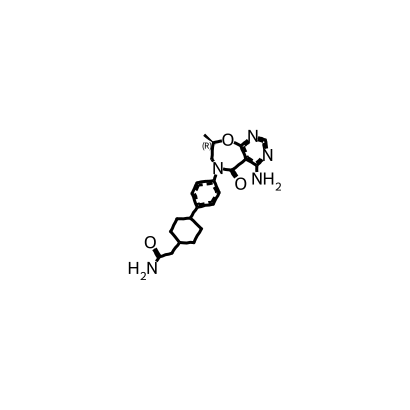 C[C@@H]1CN(c2ccc(C3CCC(CC(N)=O)CC3)cc2)C(=O)c2c(N)ncnc2O1